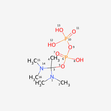 CN(C)C(C)(OP(=O)(O)OP(=O)(O)O)N(C)C